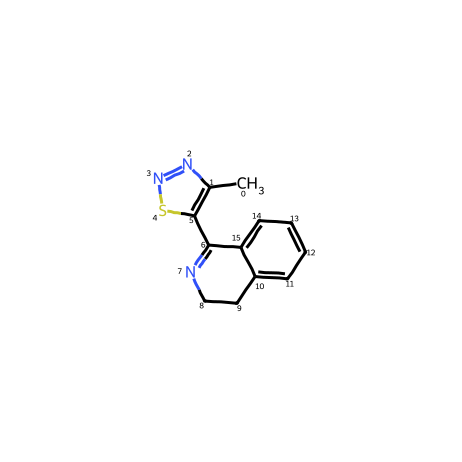 Cc1nnsc1C1=NCCc2ccccc21